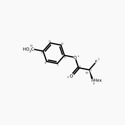 CCCCCC[C@H](F)C(=O)Oc1ccc(C(=O)O)cc1